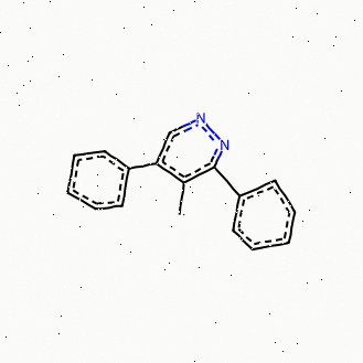 [CH2]c1c(-c2ccccc2)cnnc1-c1ccccc1